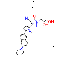 Cn1c(/C=C(\C#N)C(=O)NCC(O)CO)ccc1-c1ccc2cc(N3CCCCC3)ccc2c1